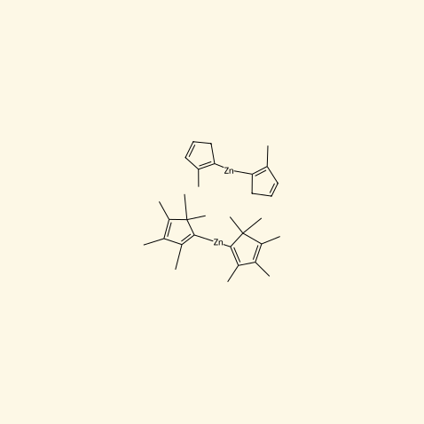 CC1=C(C)C(C)(C)[C]([Zn][C]2=C(C)C(C)=C(C)C2(C)C)=C1C.CC1=[C]([Zn][C]2=C(C)C=CC2)CC=C1